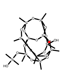 C[Si](C)(O)O[Si]1(C)O[Si]2(C)O[Si]3(C)O[Si]4(C)O[Si](C)(O)O[Si]5(C)O[Si](C)(O[Si](C)(O1)O[Si](C)(O5)O[Si](C)(O4)O2)O3